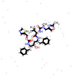 Cc1nc(CN(C)C(=O)N[C@H](C(=O)N[C@@H](Cc2ccccc2)C[C@H](O)[C@H](Cc2ccccc2)NC(=O)OCc2cncs2)C(C)C)co1